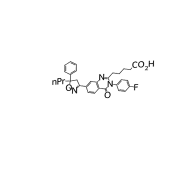 CCCC1(c2ccccc2)CC(c2ccc3c(=O)n(-c4ccc(F)cc4)c(CCCCC(=O)O)nc3c2)=NO1